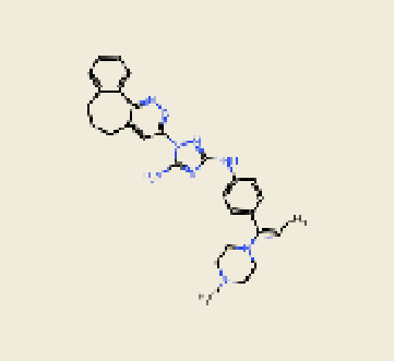 C/C=C(\c1ccc(Nc2nc(N)n(-c3cc4c(nn3)-c3ccccc3CCC4)n2)cc1)N1CCN(C)CC1